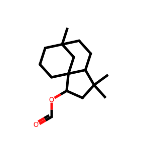 CC12CCCC3(C1)C(OC=O)CC(C)(C)C3CC2